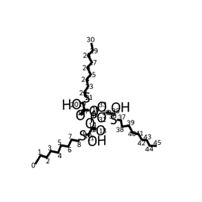 CCCCCCCCCSC(O)C(=O)OP(OC(=O)C(O)SCCCCCCCCC)OC(=O)C(O)SCCCCCCCCC